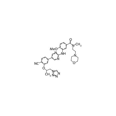 COc1ccc(C(=O)N(C)CCN2CCOCC2)cc1Nc1ncc(-c2ccc(C#N)c(OC(C)Cn3cnnn3)c2)cn1